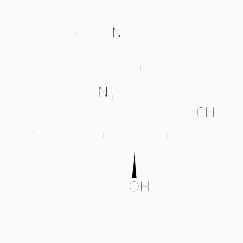 C#C[C@@H](O)c1c(C2CC2)ccc2cncn12